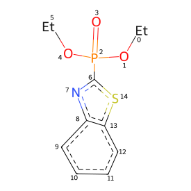 CCOP(=O)(OCC)c1nc2ccccc2s1